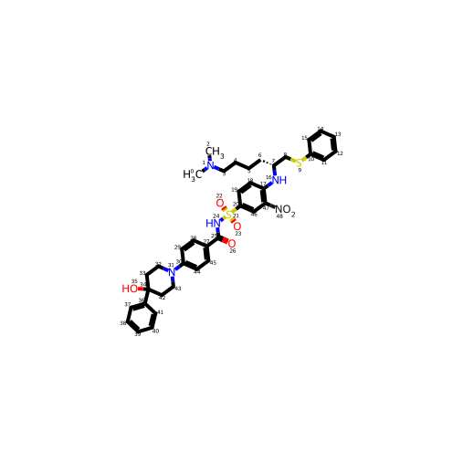 CN(C)CCCC[C@H](CSc1ccccc1)Nc1ccc(S(=O)(=O)NC(=O)c2ccc(N3CCC(O)(c4ccccc4)CC3)cc2)cc1[N+](=O)[O-]